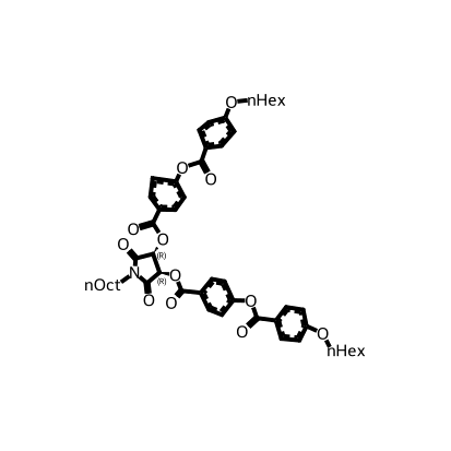 CCCCCCCCN1C(=O)[C@H](OC(=O)c2ccc(OC(=O)c3ccc(OCCCCCC)cc3)cc2)[C@@H](OC(=O)c2ccc(OC(=O)c3ccc(OCCCCCC)cc3)cc2)C1=O